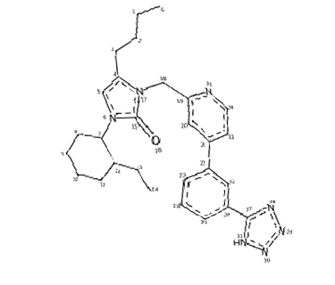 CCCCc1cn(C2CCCCC2CC)c(=O)n1Cc1cc(-c2cccc(-c3nnn[nH]3)c2)ccn1